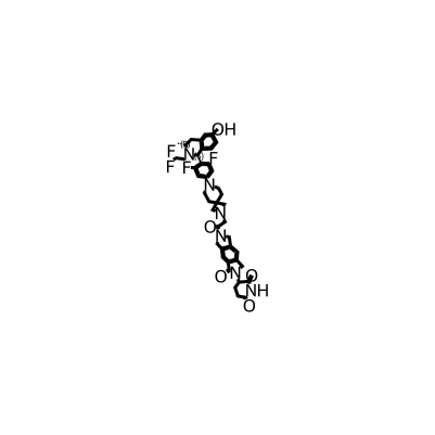 C[C@@H]1Cc2cc(O)ccc2[C@@H](c2c(F)cc(N3CCC4(CC3)CN(CC(=O)N3Cc5cc6c(cc5C3)C(=O)N(C3CCC(=O)NC3=O)C6)C4)cc2F)N1CC(F)F